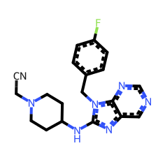 N#CCN1CCC(Nc2nc3cncnc3n2Cc2ccc(F)cc2)CC1